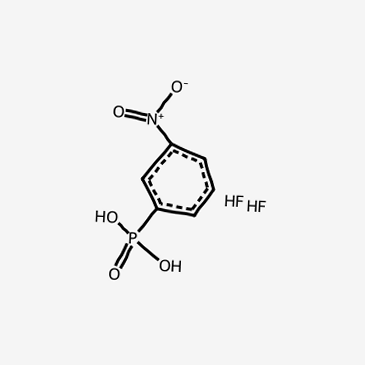 F.F.O=[N+]([O-])c1cccc(P(=O)(O)O)c1